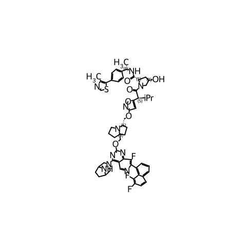 Cc1ncsc1-c1ccc([C@H](C)NC(=O)[C@@H]2C[C@@H](O)CN2C(=O)[C@H](c2cc(OC[C@@H]3CC[C@]4(COc5nc(N6CC7CCC(C6)N7)c6cnc(-c7cccc8ccc(F)c(F)c78)c(F)c6n5)CCCN34)no2)C(C)C)cc1